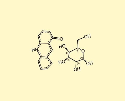 O=c1cccc2[nH]c3ccccc3cc1-2.OC[C@H]1O[C@@H](O)[C@H](O)[C@@H](O)[C@H]1O